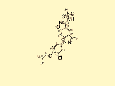 Cc1nn(-c2cnc(OCC(C)C)c(Cl)c2)c2cc3onc(NS(C)(=O)=O)c3cc12